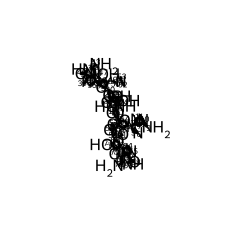 CO[C@H]1[C@H](n2cnc3c(N)ncnc32)OC(COP(=O)(O)NP(=O)(O)OP(=O)(O)OC[C@H]2OC(n3c[n+](C)c4c(=O)[nH]c(N)nc43)[C@H](O)[C@@H]2CCN(C)C)[C@H]1P(=O)([O-])OC[C@H]1O[C@@H](n2cnc3c(=O)[nH]c(N)nc32)[C@H](O)[C@@H]1O